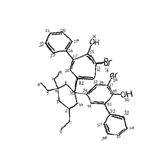 CCC1CC(CC)(CC)CC(c2cc(Br)c(O)c(-c3ccccc3)c2)(c2cc(Br)c(O)c(-c3ccccc3)c2)C1